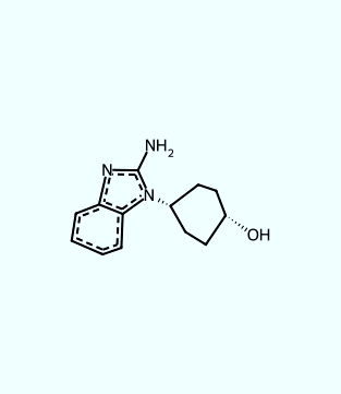 Nc1nc2ccccc2n1[C@H]1CC[C@@H](O)CC1